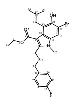 CCOC(=O)c1c(CSCc2ccc(F)cc2)n(C)c2cc(Br)c(O)c(CN(C)C)c12